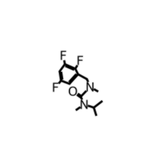 CC(C)N(C)C(=O)N(C)Cc1cc(F)cc(F)c1F